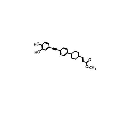 COC(=O)/C=C/C1CCC(c2ccc(C#Cc3ccc(O)c(O)c3)cc2)CC1